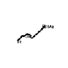 CC/C=C\CC/C=C/C#C[C@@H](O)/C=C\C/C=C\C/C=C\CCCCCCCCCCCCC(=O)OC